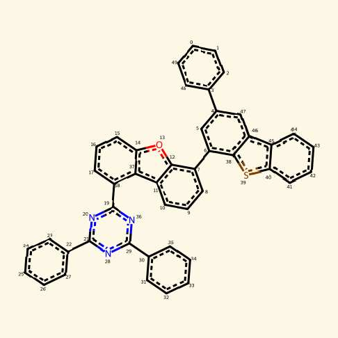 c1ccc(-c2cc(-c3cccc4c3oc3cccc(-c5nc(-c6ccccc6)nc(-c6ccccc6)n5)c34)c3sc4ccccc4c3c2)cc1